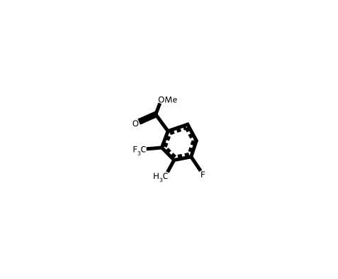 COC(=O)c1ccc(F)c(C)c1C(F)(F)F